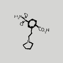 NS(=O)(=O)c1ccc(C(=O)O)c(CCN2CCCC2)c1